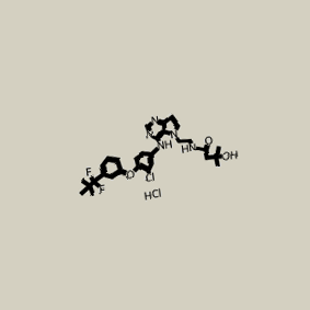 CC(C)(O)CC(=O)NCCn1ccc2ncnc(Nc3ccc(Oc4cccc(C(F)(F)C(C)(C)C)c4)c(Cl)c3)c21.Cl